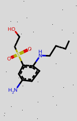 CCCCNc1ccc(N)cc1S(=O)(=O)CCO